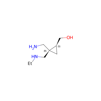 CCNC[C@]1(CN)C[C@@H]1CO